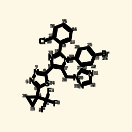 FC(F)(F)C1(c2nnc(-c3nc(-c4ccccc4Cl)n(-c4ccc(Br)cc4)c3Cn3cncn3)s2)CC1